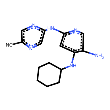 N#Cc1cnc(Nc2cc(NC3CCCCC3)c(N)cn2)cn1